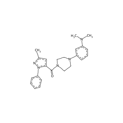 Cc1cc(C(=O)N2CCN(c3cccc(N(C)C)c3)CC2)n(-c2ccccc2)n1